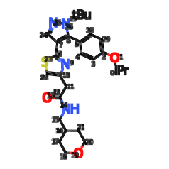 CC(C)Oc1ccc(-c2c(-c3nc(CC(=O)NCC4CCOCC4)cs3)cnn2C(C)(C)C)cc1